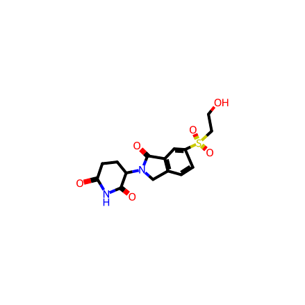 O=C1CCC(N2Cc3ccc(S(=O)(=O)CCO)cc3C2=O)C(=O)N1